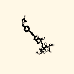 CC(CCN1Cc2cc(C#Cc3ccc(CN4CC(F)C4)cc3)sc2C1=O)(C(=O)NO)S(C)(=O)=O